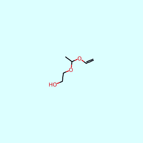 C=COC(C)OCCO